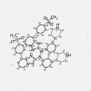 CS(=O)(=O)c1ccc(-c2cccn3nc(N(c4cccc(C5CCNCC5)c4)N(c4cccc(C5CCNCC5)c4)c4nc5c(-c6ccc(S(C)(=O)=O)cc6)cccn5n4)nc23)cc1